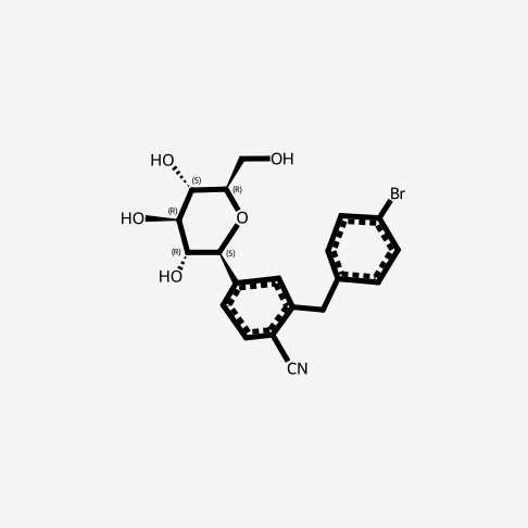 N#Cc1ccc([C@@H]2O[C@H](CO)[C@@H](O)[C@H](O)[C@H]2O)cc1Cc1ccc(Br)cc1